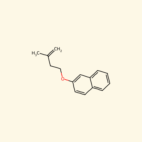 C=C(C)CCOc1ccc2ccccc2c1